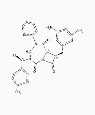 CC[C@@H](NC(=O)N1C(=O)[C@H](Cc2cc(C)nc(N)c2)[C@H]1C(=O)N(C)c1ccncc1)c1ccc(C)nc1